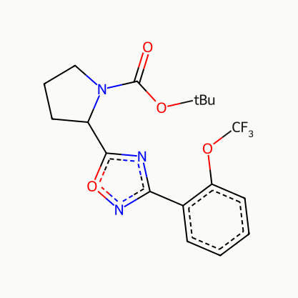 CC(C)(C)OC(=O)N1CCCC1c1nc(-c2ccccc2OC(F)(F)F)no1